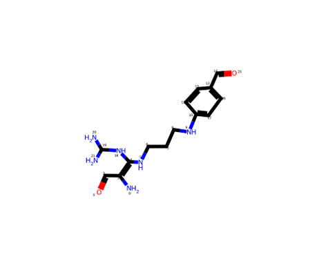 N/C(C=O)=C(\NCCCNc1ccc(C=O)cc1)NC(N)N